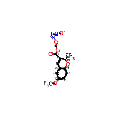 O=C(OCO/N=[NH+]\[O-])C1=Cc2cc(OC(F)(F)F)ccc2O[C@@H]1C(F)(F)F